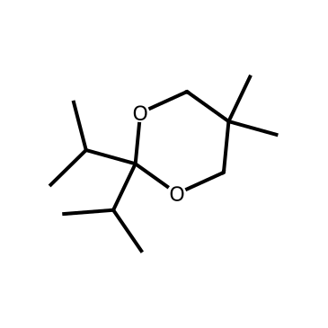 CC(C)C1(C(C)C)OCC(C)(C)CO1